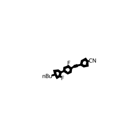 CCCCc1ccc(-c2ccc(C#Cc3ccc(C#N)cc3)c(F)c2)c(F)c1